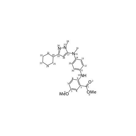 COC(=O)c1cc(OC)ccc1Nc1ccc(N(C)c2cc(C3CCCCC3)nn2C)cc1